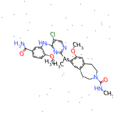 CNC(=O)N1CCc2cc(OC)c([As](C)c3ncc(Cl)c(Nc4cc(C(N)=O)ccc4OC)n3)cc2CC1